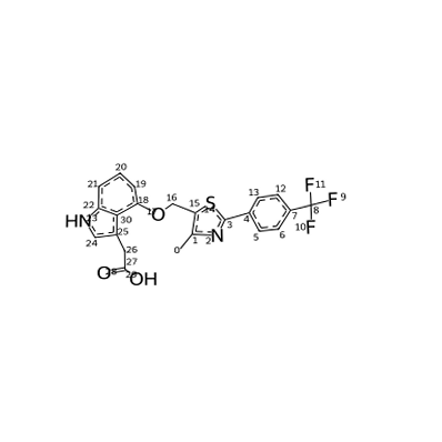 Cc1nc(-c2ccc(C(F)(F)F)cc2)sc1COc1cccc2[nH]cc(CC(=O)O)c12